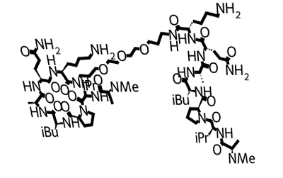 CC[C@H](C)[C@H](NC(=O)[C@@H]1CCCN1C(=O)C(NC(=O)[C@H](C)NC)C(C)C)C(=O)N[C@@H](C)C(=O)N[C@@H](CCC(N)=O)C(=O)N[C@@H](CCCCN)C(=O)NCCCOCCOCCOCCCNC(=O)[C@H](CCCCN)NC(=O)[C@H](CCC(N)=O)NC(=O)[C@H](C)NC(=O)[C@@H](NC(=O)[C@@H]1CCCN1C(=O)[C@@H](NC(=O)[C@H](C)NC)C(C)C)[C@@H](C)CC